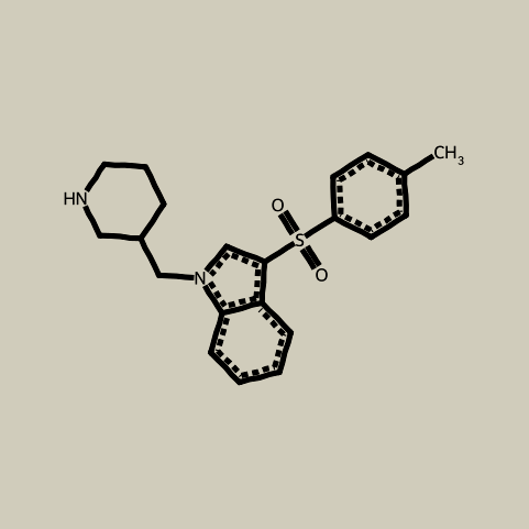 Cc1ccc(S(=O)(=O)c2cn(CC3CCCNC3)c3ccccc23)cc1